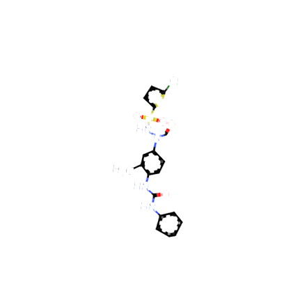 Cc1cc(N(C=O)NS(=O)(=O)c2ccc(Cl)s2)ccc1NC(=O)Nc1ccccc1